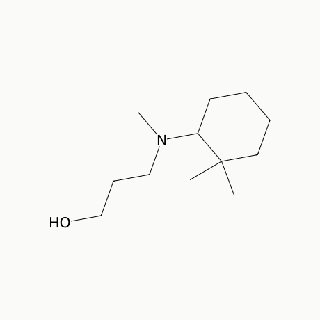 CN(CCCO)C1CCCCC1(C)C